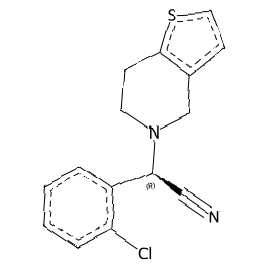 N#C[C@@H](c1ccccc1Cl)N1CCc2sccc2C1